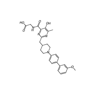 COc1cccc(-c2ccc(N3CCC(Cc4nc(C)c(O)c(C(=O)NCC(=O)O)n4)CC3)cc2)c1